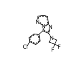 FC1(F)CN(c2nc3cccnn3c2-c2ccc(Cl)cc2)C1